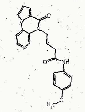 COc1ccc(NC(=O)CCCn2c(=O)c3cccn3c3ccncc32)cc1